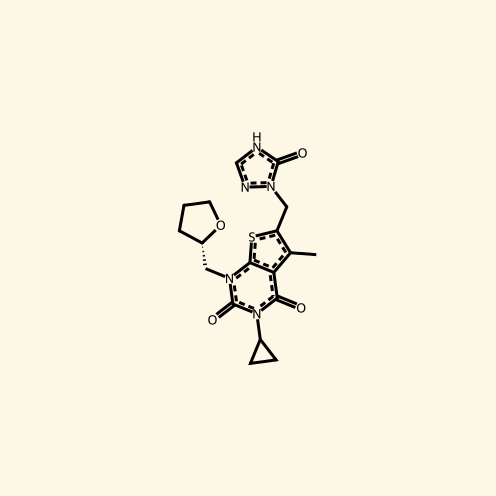 Cc1c(Cn2nc[nH]c2=O)sc2c1c(=O)n(C1CC1)c(=O)n2C[C@@H]1CCCO1